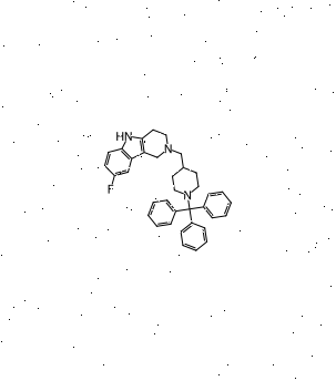 Fc1ccc2[nH]c3c(c2c1)CN(CC1CCN(C(c2ccccc2)(c2ccccc2)c2ccccc2)CC1)CC3